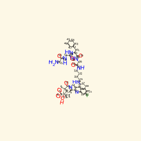 CC[C@@]1(O)C(=O)OCc2c1cc1n(c2=O)Cc2c-1nc1cc(F)c(C)c3c1c2[C@@H](NCCCCNC(=O)CNC(=O)C(Cc1ccccc1)NC(=O)CNC(=O)CN)CC3